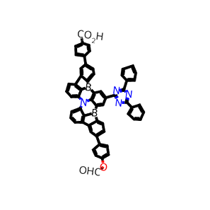 O=COc1ccc(-c2ccc3c(c2)-c2cccc4c2B3c2cc(-c3nc(-c5ccccc5)nc(-c5ccccc5)n3)cc3c2N4c2cccc4c2B3c2ccc(-c3ccc(C(=O)O)cc3)cc2-4)cc1